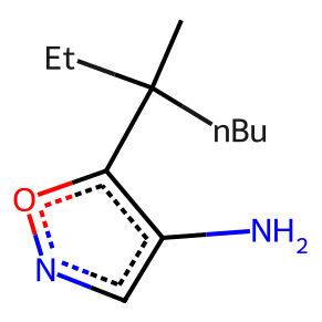 CCCCC(C)(CC)c1oncc1N